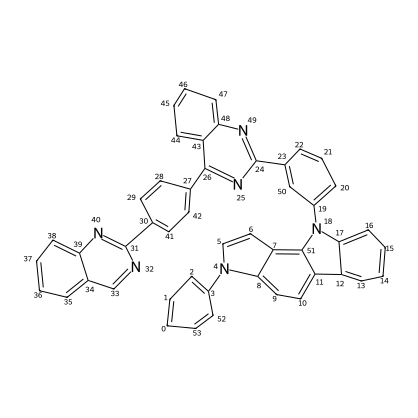 c1ccc(-n2ccc3c2ccc2c4ccccc4n(-c4cccc(-c5nc(-c6ccc(-c7ncc8ccccc8n7)cc6)c6ccccc6n5)c4)c23)cc1